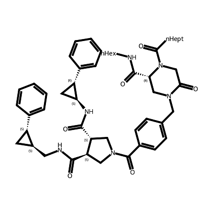 CCCCCCCC(=O)N1CC(=O)N(Cc2ccc(C(=O)N3C[C@@H](C(=O)NC[C@H]4C[C@@H]4c4ccccc4)[C@H](C(=O)N[C@H]4C[C@@H]4c4ccccc4)C3)cc2)C[C@@H]1C(=O)NCCCCCC